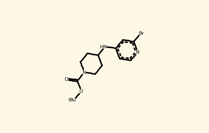 CC(C)(C)OC(=O)N1CCC(Nc2ccnc(Br)c2)CC1